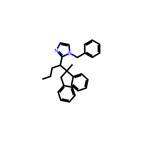 CCCC(c1nccn1Cc1ccccc1)C(C)(Cc1ccccc1)c1ccccc1